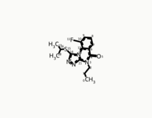 CCCn1c(=O)c2cccc(F)c2n2c(SC(C)C)nnc12